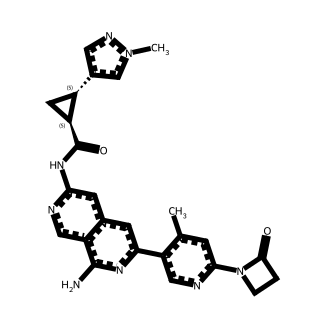 Cc1cc(N2CCC2=O)ncc1-c1cc2cc(NC(=O)[C@H]3C[C@@H]3c3cnn(C)c3)ncc2c(N)n1